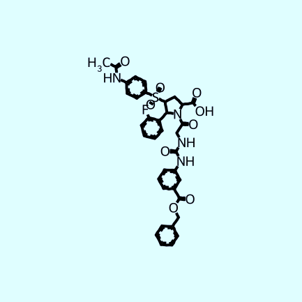 CC(=O)Nc1ccc(S(=O)(=O)C2CC(C(=O)O)N(C(=O)CNC(=O)Nc3cccc(C(=O)OCc4ccccc4)c3)C2c2ccccc2F)cc1